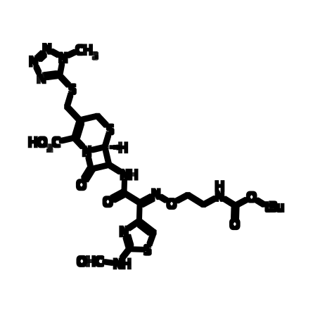 Cn1nnnc1SCC1=C(C(=O)O)N2C(=O)C(NC(=O)C(=NOCCNC(=O)OC(C)(C)C)c3csc(NC=O)n3)[C@@H]2SC1